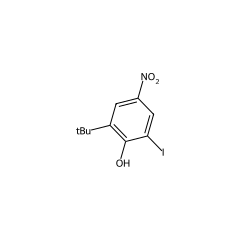 CC(C)(C)c1cc([N+](=O)[O-])cc(I)c1O